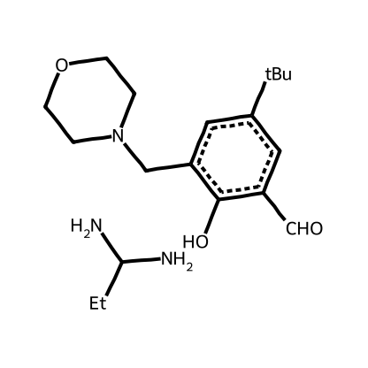 CC(C)(C)c1cc(C=O)c(O)c(CN2CCOCC2)c1.CCC(N)N